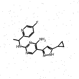 CC(Nc1ncc(-c2cc(C3CC3)[nH]n2)c(N)n1)c1ccc(F)cn1